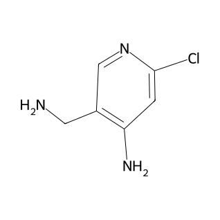 NCc1cnc(Cl)cc1N